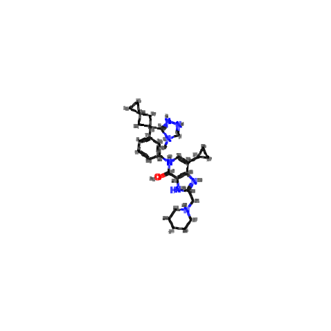 Cn1cnnc1C1(c2cccc(-n3cc(C4CC4)c4nc(CN5CCCCC5)[nH]c4c3=O)c2)CC2(CC2)C1